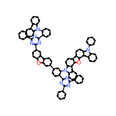 c1ccc(-c2nc(-c3ccc4oc5cc(-c6ccc(-c7nc(-c8ccccc8)nc(-c8ccccc8)n7)c(-n7c8ccccc8c8c9oc%10c(ccc%11c%10c%10ccccc%10n%11-c%10ccccc%10)c9ccc87)c6)ccc5c4c3)nc(-c3ccccc3-n3c4ccccc4c4ccccc43)n2)cc1